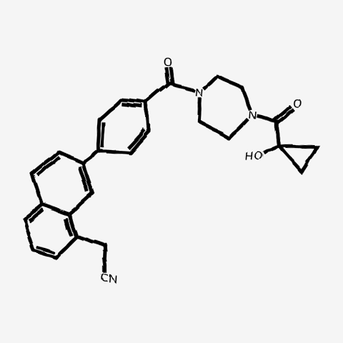 N#CCc1cccc2ccc(-c3ccc(C(=O)N4CCN(C(=O)C5(O)CC5)CC4)cc3)cc12